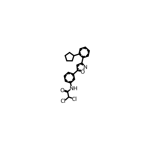 O=C(Nc1cccc(-c2cc(-c3ccccc3C3CCCC3)no2)c1)C(Cl)Cl